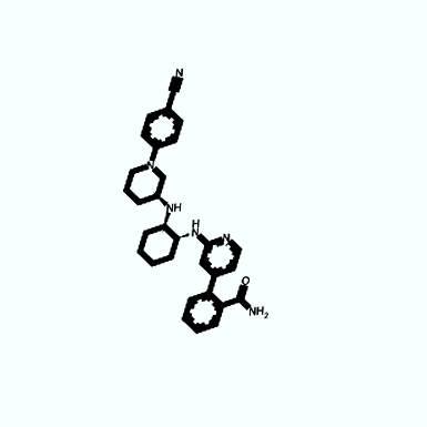 N#Cc1ccc(N2CCC[C@H](N[C@@H]3CCCC[C@H]3Nc3cc(-c4ccccc4C(N)=O)ccn3)C2)cc1